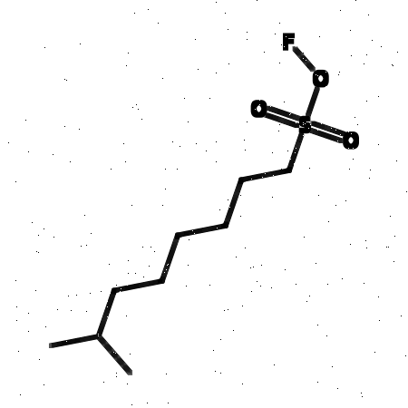 CC(C)CCCCCCS(=O)(=O)OF